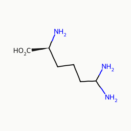 NC(N)CCC[C@H](N)C(=O)O